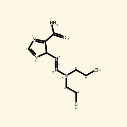 NC(=O)C1=NC=NC1/N=N/N(CCCl)CCCl